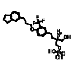 NC(CO)(CCc1ccc(OCCCc2ccc3c(c2)CCC3)c(C(F)(F)F)c1)COP(=O)(O)O